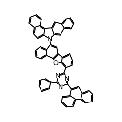 c1ccc(-c2nc(-c3cc4ccccc4c4ccccc34)nc(-c3cccc4c3oc3c5ccccc5c(-n5c6cc7ccccc7cc6c6c7ccccc7ccc65)cc43)n2)cc1